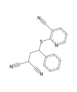 N#Cc1cccnc1SC(CC(C#N)C#N)c1ccccc1